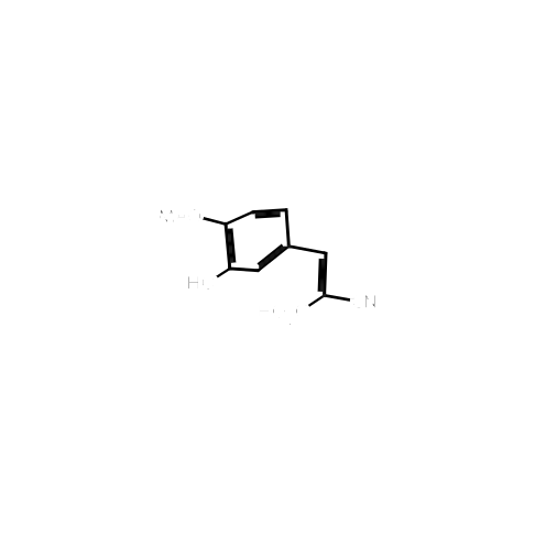 COc1ccc(C=C(C#N)C(=O)O)cc1O